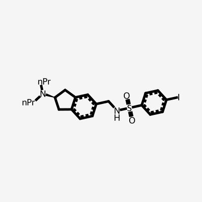 CCCN(CCC)[C@@H]1Cc2ccc(CNS(=O)(=O)c3ccc(I)cc3)cc2C1